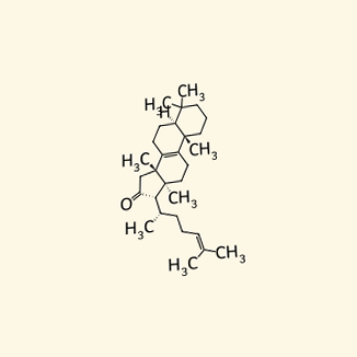 CC(C)=CCC[C@H](C)[C@@H]1C(=O)C[C@]2(C)C3=C(CC[C@@]12C)[C@@]1(C)CCCC(C)(C)[C@@H]1CC3